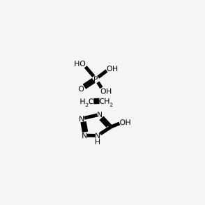 C=C.O=P(O)(O)O.Oc1nnn[nH]1